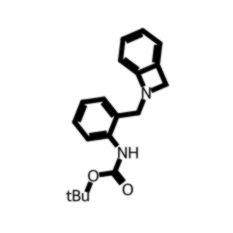 CC(C)(C)OC(=O)Nc1ccccc1CN1Cc2ccccc21